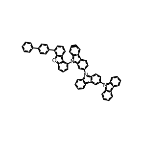 c1cc2c3ccc(-n4c5ccccc5c5cc(-n6c7ccccc7c7ccccc76)ccc54)cc3n(-c3cccc4oc5c(-c6ccc(-c7ccccc7)cc6)cccc5c34)c2cc#1